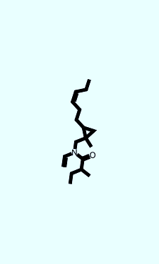 C=CN(CC1(C)CC1CC/C=C\CC)C(=O)C(C)CC